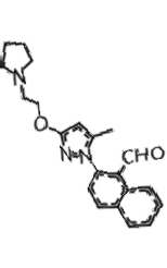 Cc1cc(OCCN2CCCC2)nn1-c1ccc2ccccc2c1C=O